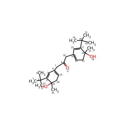 CC(C)(C)C1=CC(CC(=O)CC2=CCC(C)(O)C(C(C)(C)C)=C2)=CCC1(C)O